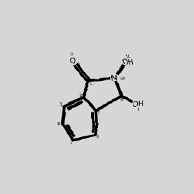 O=C1c2ccccc2C(O)N1O